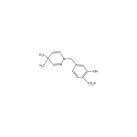 CC1(C)C=CN(Cc2ccc(C(=O)O)c(O)c2)N=C1